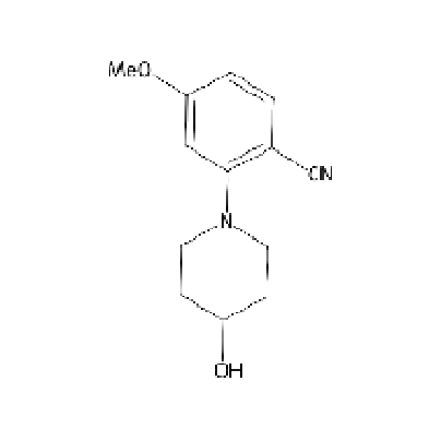 COc1ccc(C#N)c(N2CCC(O)CC2)c1